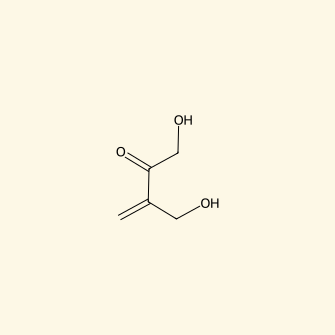 C=C(CO)C(=O)CO